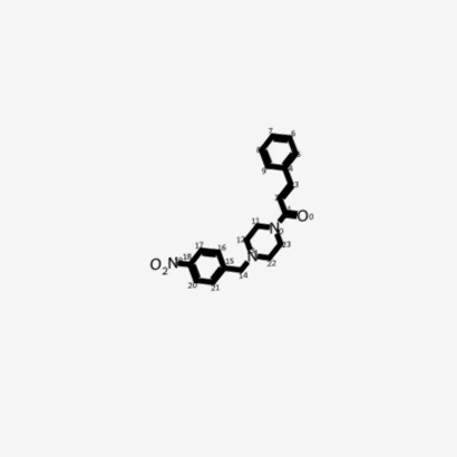 O=C(C=Cc1ccccc1)N1CCN(Cc2ccc([N+](=O)[O-])cc2)CC1